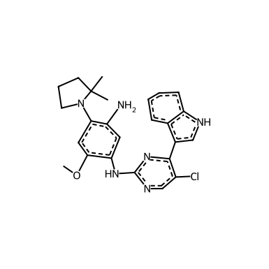 COc1cc(N2CCCC2(C)C)c(N)cc1Nc1ncc(Cl)c(-c2c[nH]c3ccccc23)n1